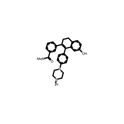 CNC(=O)c1cccc(C2=C(c3ccc(N4CCN(C(C)C)CC4)cc3)c3cc(O)ccc3CC2)c1